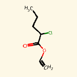 C=COC(=O)C(Cl)CCC